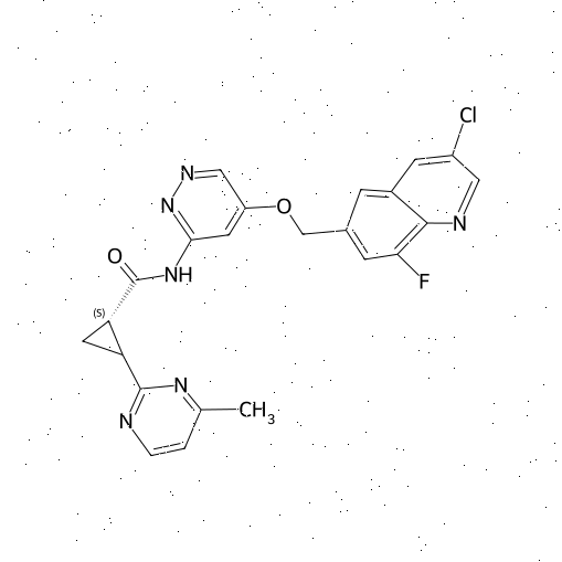 Cc1ccnc(C2C[C@@H]2C(=O)Nc2cc(OCc3cc(F)c4ncc(Cl)cc4c3)cnn2)n1